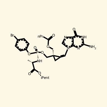 CCCC(=O)OC[C@@]1(CO[P@@](=O)(N[C@@H](C)C(=O)O[C@@H](C)CCC)Oc2ccc(Br)cc2)C/C1=C/n1cnc2c(=O)[nH]c(N)nc21